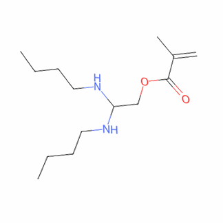 C=C(C)C(=O)OCC(NCCCC)NCCCC